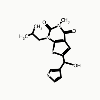 CC(C)Cn1c(=O)n(C)c(=O)c2cc(C(O)c3ccsc3)sc21